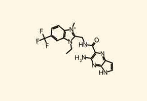 CCn1c(CNC(=O)c2nc3cc[nH]c3nc2N)[n+](C)c2ccc(C(F)(F)F)cc21